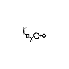 [N-]=[N+]=NC1CN(C(=O)N2CCCN(C3CCC3)CC2)C1